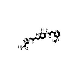 CNC(=O)c1cn(CC(F)CCC2=CC=C(NC(=O)Cc3cc(OC(F)F)ccn3)NN2)nn1